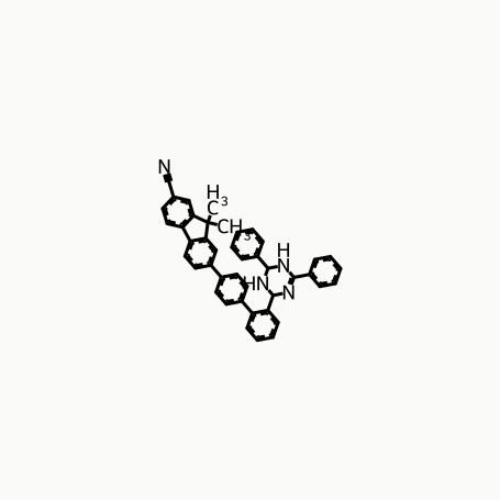 CC1(C)c2cc(C#N)ccc2-c2ccc(-c3ccc(-c4ccccc4C4N=C(c5ccccc5)NC(c5ccccc5)N4)cc3)cc21